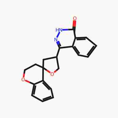 O=c1[nH]nc(C2COC3(CCOc4ccccc43)C2)c2ccccc12